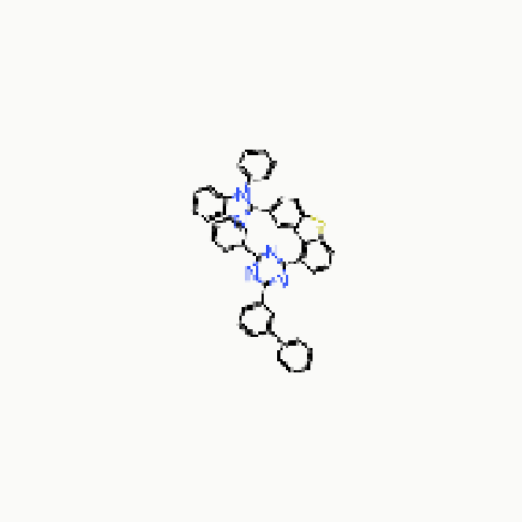 c1ccc(-c2cccc(-c3nc(-c4ccccc4)nc(-c4cccc5sc6ccc(-c7nc8ccccc8n7-c7ccccc7)cc6c45)n3)c2)cc1